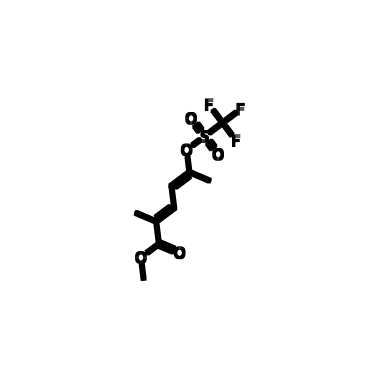 COC(=O)/C(C)=C/C=C(\C)OS(=O)(=O)C(F)(F)F